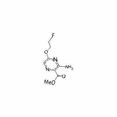 COC(=O)c1ncc(OCCF)nc1N